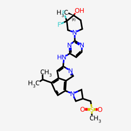 CC(C)c1ccc(N2CC(CS(C)(=O)=O)C2)c2cnc(Nc3ccnc(N4CC[C@@](C)(O)C(F)(F)C4)n3)cc12